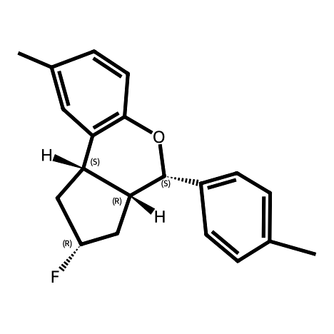 Cc1ccc([C@H]2Oc3ccc(C)cc3[C@H]3C[C@@H](F)C[C@H]32)cc1